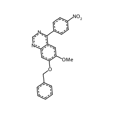 COc1cc2c(-c3ccc([N+](=O)[O-])cc3)ncnc2cc1OCc1ccccc1